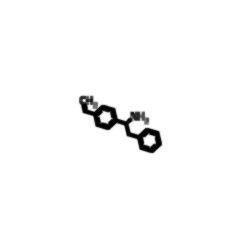 C=Cc1ccc([C@@H](N)Cc2ccccc2)cc1